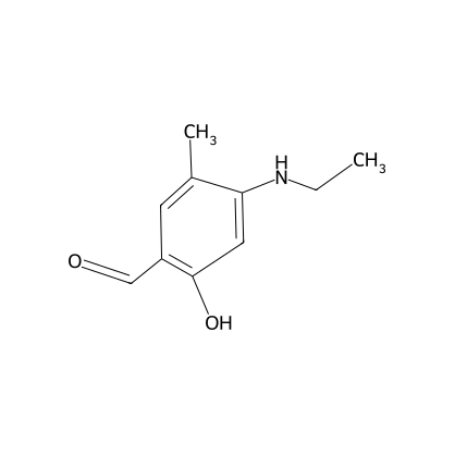 CCNc1cc(O)c(C=O)cc1C